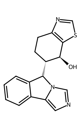 O[C@@H]1c2scnc2CC[C@H]1C1c2ccccc2-c2cncn21